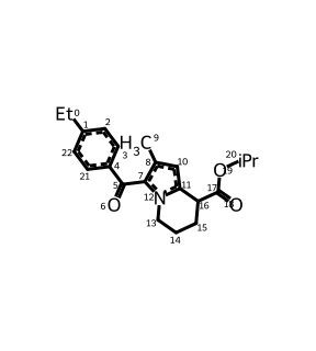 CCc1ccc(C(=O)c2c(C)cc3n2CCCC3C(=O)OC(C)C)cc1